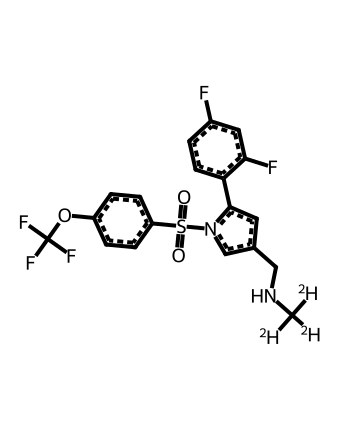 [2H]C([2H])([2H])NCc1cc(-c2ccc(F)cc2F)n(S(=O)(=O)c2ccc(OC(F)(F)F)cc2)c1